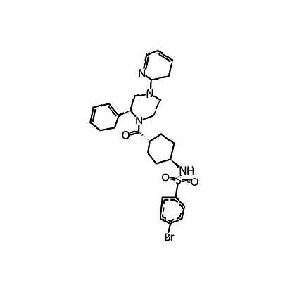 O=C([C@H]1CC[C@H](NS(=O)(=O)c2ccc(Br)cc2)CC1)N1CCN(C2CC=CC=N2)C[C@@H]1C1=CC=CCC1